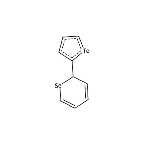 C1=C[Se]C(c2ccc[te]2)C=C1